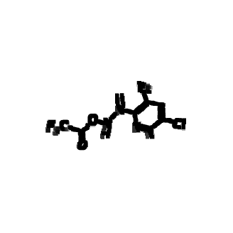 CCc1cc(Cl)nnc1NNOC(=O)C(F)(F)F